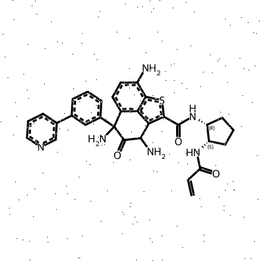 C=CC(=O)N[C@H]1CCC[C@H]1NC(=O)c1sc2c(N)ccc3c2c1C(N)C(=O)C3(N)c1cccc(-c2cccnc2)c1